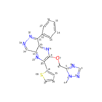 Cn1ncnc1COc1nc2c(-c3ccccc3)nncc2nc1-c1cccs1